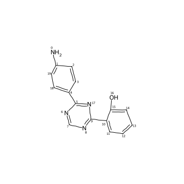 Nc1ccc(-c2ncnc(-c3ccccc3O)n2)cc1